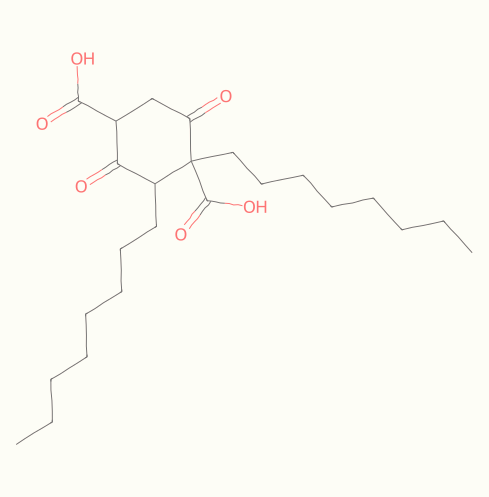 CCCCCCCCC1C(=O)C(C(=O)O)CC(=O)C1(CCCCCCCC)C(=O)O